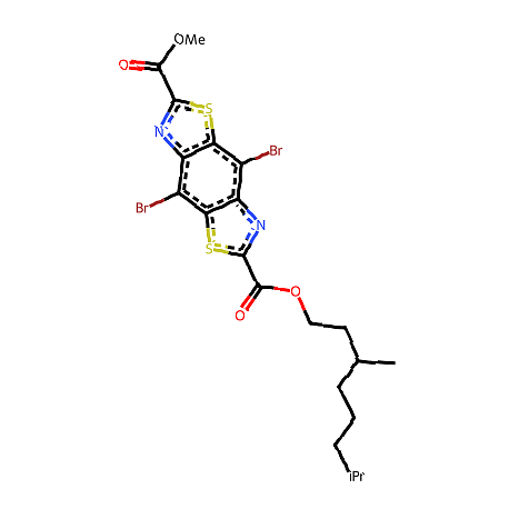 COC(=O)c1nc2c(Br)c3sc(C(=O)OCCC(C)CCCC(C)C)nc3c(Br)c2s1